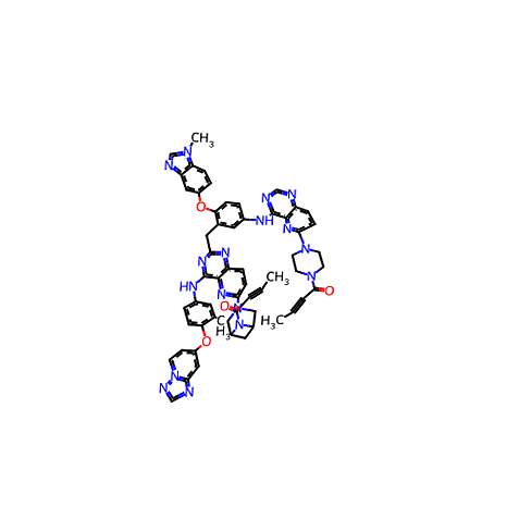 CC#CC(=O)N1CCN(c2ccc3ncnc(Nc4ccc(Oc5ccc6c(c5)ncn6C)c(Cc5nc(Nc6ccc(Oc7ccn8ncnc8c7)c(C)c6)c6nc(N7CC8CC(C7)N8C(=O)C#CC)ccc6n5)c4)c3n2)CC1